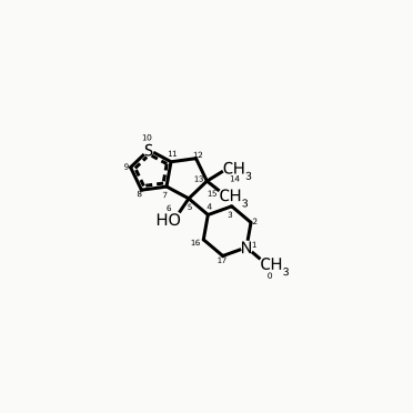 CN1CCC(C2(O)c3ccsc3CC2(C)C)CC1